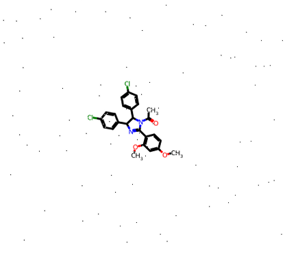 COc1ccc(C2=NC(c3ccc(Cl)cc3)C(c3ccc(Cl)cc3)N2C(C)=O)c(OC)c1